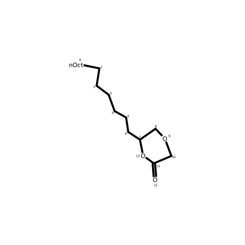 CCCCCCCCCCCCCCC1COCC(=O)O1